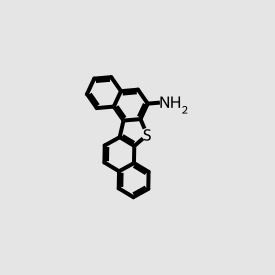 Nc1cc2ccccc2c2c1sc1c3ccccc3ccc12